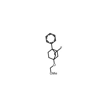 COCOC12C=C(F)C(c3ccccc3)(CC1)CC2